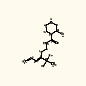 C=N/N=C(\SCNC(=O)N1CCOCC1CC)C(C)(F)F